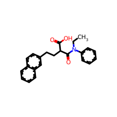 CCN(C(=O)C(CCc1ccc2ccccc2c1)C(=O)O)c1ccccc1